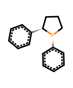 c1ccc([C@@H]2CCC[P@]2c2ccccc2)cc1